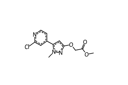 COC(=O)COc1cc(-c2ccnc(Cl)c2)n(C)n1